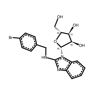 OC[C@H]1O[C@@H](n2c(NCc3ccc(Br)cc3)nc3ccccc32)[C@H](O)[C@@H]1O